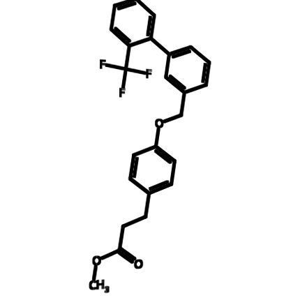 COC(=O)CCc1ccc(OCc2cccc(-c3ccccc3C(F)(F)F)c2)cc1